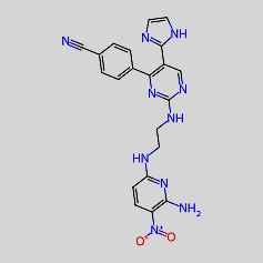 N#Cc1ccc(-c2nc(NCCNc3ccc([N+](=O)[O-])c(N)n3)ncc2-c2ncc[nH]2)cc1